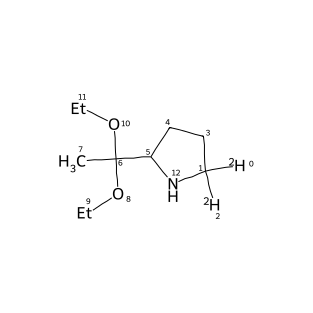 [2H]C1([2H])CCC(C(C)(OCC)OCC)N1